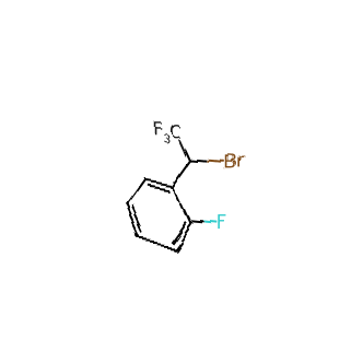 Fc1ccccc1C(Br)C(F)(F)F